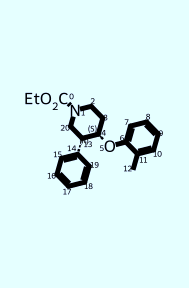 CCOC(=O)N1CC[C@H](Oc2ccccc2C)[C@H](c2ccccc2)C1